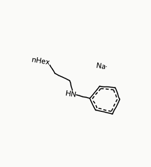 CCCCCCCCNc1ccccc1.[Na]